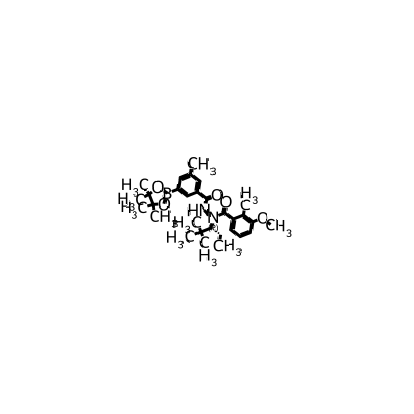 CC[C@@H](N(NC(=O)c1cc(C)cc(B2OC(C)(C)C(C)(C)O2)c1)C(=O)c1cccc(OC)c1C)C(C)(C)C